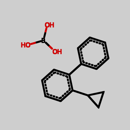 OB(O)O.c1ccc(-c2ccccc2C2CC2)cc1